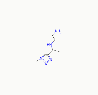 CC(NCCN)c1cn(C)nn1